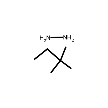 CCC(C)(C)C.NN